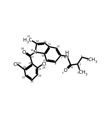 CCC(C)C(=O)Nc1ccc2c(c1)cc(C)n2C(=O)c1c(Cl)cccc1Cl